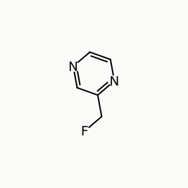 FCc1cnccn1